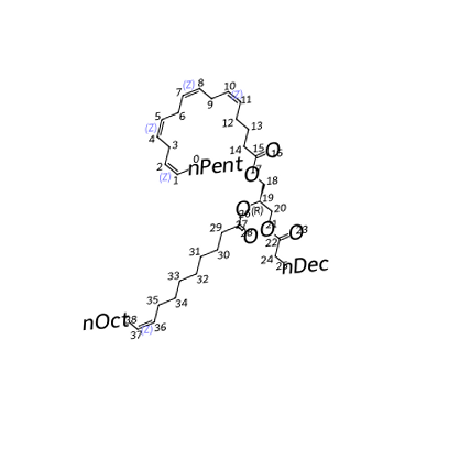 CCCCC/C=C\C/C=C\C/C=C\C/C=C\CCCC(=O)OC[C@@H](COC(=O)CCCCCCCCCCC)OC(=O)CCCCCCC/C=C\CCCCCCCC